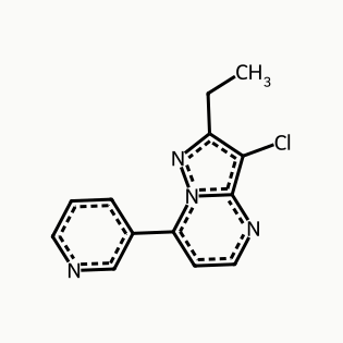 CCc1nn2c(-c3cccnc3)ccnc2c1Cl